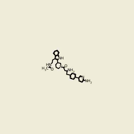 CC(=O)NCCc1c(C2CCCN(C(=O)C[C@H](N)Cc3ccc(-c4ccc(N)nc4)cc3)C2)[nH]c2ccccc12